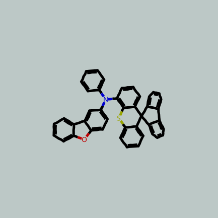 c1ccc(N(c2ccc3oc4ccccc4c3c2)c2cccc3c2Sc2ccccc2C32c3ccccc3-c3ccccc32)cc1